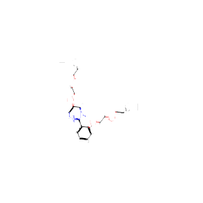 CCCOCCOc1cnc(-c2ccccc2OCCOCCC)nc1